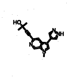 Cn1cc(-c2cn[nH]c2)c2cc(C#CC(C)(C)O)ncc21